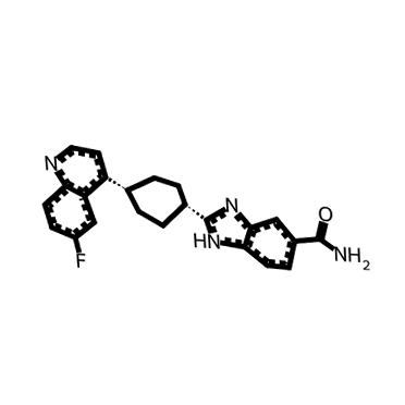 NC(=O)c1ccc2[nH]c([C@H]3CC[C@@H](c4ccnc5ccc(F)cc54)CC3)nc2c1